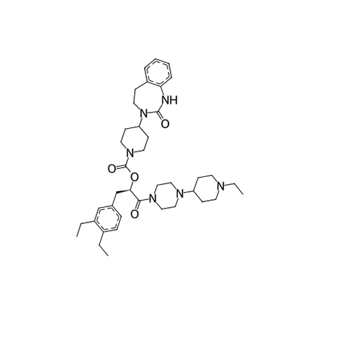 CCc1ccc(C[C@@H](OC(=O)N2CCC(N3CCc4ccccc4NC3=O)CC2)C(=O)N2CCN(C3CCN(CC)CC3)CC2)cc1CC